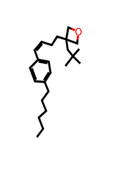 CCCCCCc1ccc(/C=C\CCC2(CC(C)(C)C)COC2)cc1